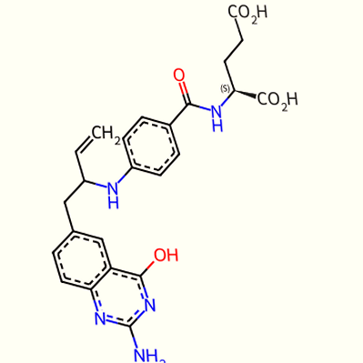 C=CC(Cc1ccc2nc(N)nc(O)c2c1)Nc1ccc(C(=O)N[C@@H](CCC(=O)O)C(=O)O)cc1